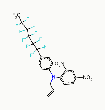 C=CCN(c1ccc(C(F)(F)C(F)(F)C(F)(F)C(F)(F)C(F)(F)C(F)(F)F)cc1)c1ccc([N+](=O)[O-])cc1[N+](=O)[O-]